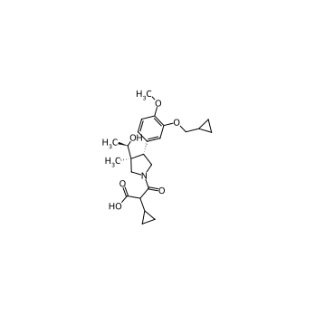 COc1ccc([C@@H]2CN(C(=O)C(C(=O)O)C3CC3)C[C@@]2(C)[C@@H](C)O)cc1OCC1CC1